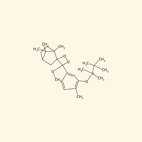 COC1(c2ccc(C)c(O[Si](C)(C)C(C)(C)C)c2)OOC12CC1CCC2(C)C1(C)C